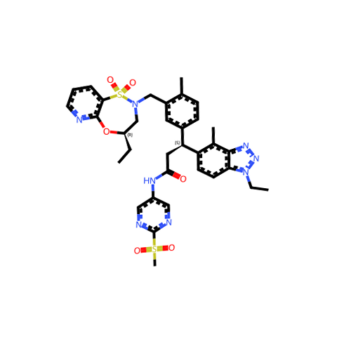 CC[C@@H]1CN(Cc2cc([C@H](CC(=O)Nc3cnc(S(C)(=O)=O)nc3)c3ccc4c(nnn4CC)c3C)ccc2C)S(=O)(=O)c2cccnc2O1